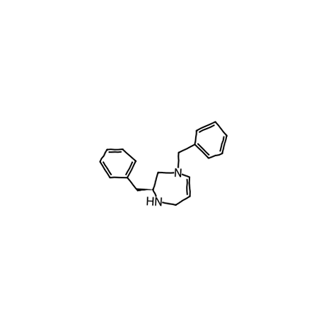 C1=CN(Cc2ccccc2)C[C@H](Cc2ccccc2)NC1